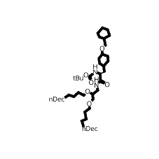 CCCCCCCCCCCCCCOCC(CNC(=O)[C@H](CC1CCC(OCC2CCCCC2)CC1)NC(=O)OC(C)(C)C)OCCCCCCCCCCCCCC